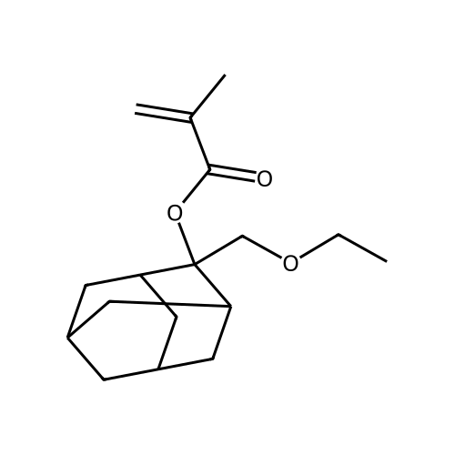 C=C(C)C(=O)OC1(COCC)C2CC3CC(C2)CC1C3